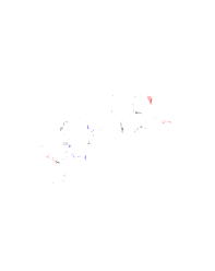 CCC(=O)N[C@H]1CCCN(CCc2ccc(O)c(O)c2CF)C1